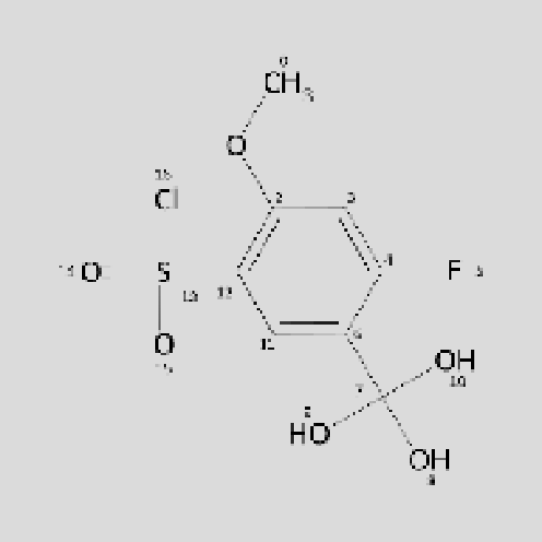 COc1cc(F)c(C(O)(O)O)cc1S(=O)(=O)Cl